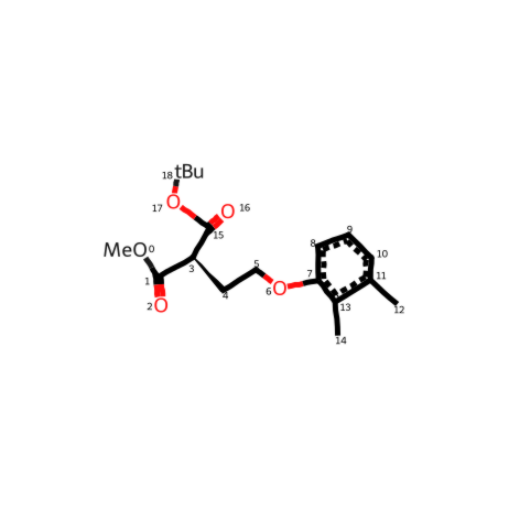 COC(=O)[C@H](CCOc1cccc(C)c1C)C(=O)OC(C)(C)C